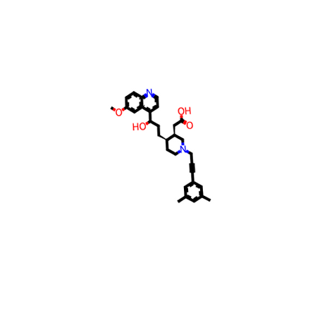 COc1ccc2nccc(C(O)CC[C@@H]3CCN(CC#Cc4cc(C)cc(C)c4)C[C@@H]3CC(=O)O)c2c1